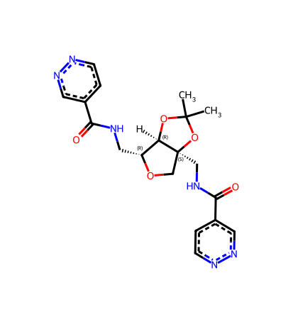 CC1(C)O[C@@H]2[C@@H](CNC(=O)c3ccnnc3)OC[C@]2(CNC(=O)c2ccnnc2)O1